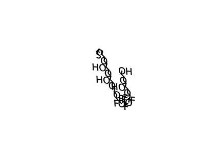 OCCOCC(O)COCC(F)(F)OC(F)(F)OC(F)(F)COCCOCC(O)COCC(O)COCc1cccs1